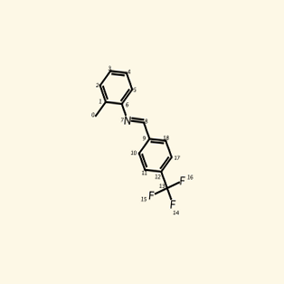 Cc1ccccc1N=Cc1ccc(C(F)(F)F)cc1